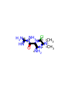 CN(C)c1nc(N)c(C(=O)N(N)C(=N)N)nc1Cl